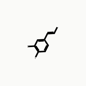 [CH2]/C=C/c1ccc(I)c(I)c1